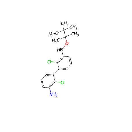 COC(C)(C)C(C)(C)OBc1cccc(-c2cccc(N)c2Cl)c1Cl